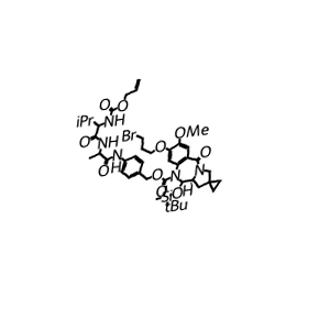 C=CCOC(=O)NC(C(=O)NC(C)C(=O)Nc1ccc(COC(=O)N2c3cc(OCCCBr)c(OC)cc3C(=O)N3CC4(CC4)C[C@H]3C2O[Si](C)(C)C(C)(C)C)cc1)C(C)C